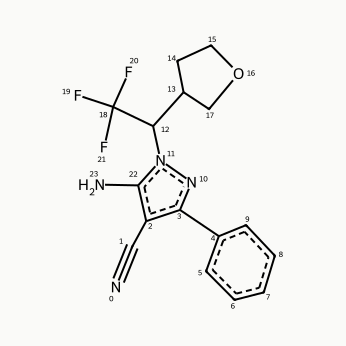 N#Cc1c(-c2ccccc2)nn(C(C2CCOC2)C(F)(F)F)c1N